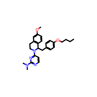 CCCCOc1ccc(CC2c3ccc(OC)cc3CCN2c2ccnc(N(C)C)n2)cc1